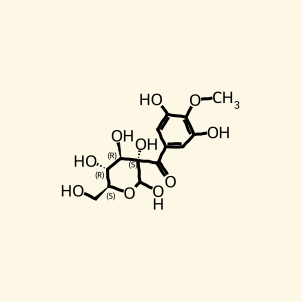 COc1c(O)cc(C(=O)[C@@]2(O)C(O)O[C@@H](CO)[C@H](O)[C@H]2O)cc1O